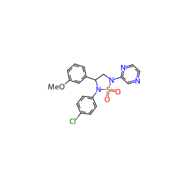 COc1cccc(C2CN(c3cnccn3)S(=O)(=O)N2c2ccc(Cl)cc2)c1